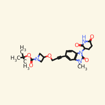 Cn1c(=O)n(C2CCC(=O)NC2=O)c2ccc(C#CCOC3CN(C(=O)OC(C)(C)C)C3)cc21